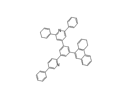 C1=CC(c2cc(-c3cc(-c4ccc(-c5ccccc5)cn4)cc(-c4cc5ccccc5c5c4C=CCC5)c3)cc(-c3ccccc3)n2)=CCC1